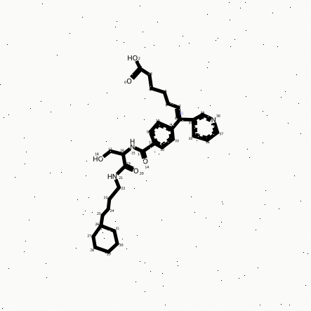 O=C(O)CCCC/C=C(\c1ccc(C(=O)NC(CO)C(=O)NCCCCC2CCCCC2)cc1)c1cccnc1